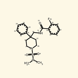 CN(C)S(=O)(=O)N1CCC(CNC(=O)c2ccccc2F)(c2ccccc2)CC1